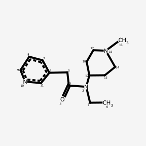 CCN(C(=O)Cc1cccnc1)C1CCN(C)CC1